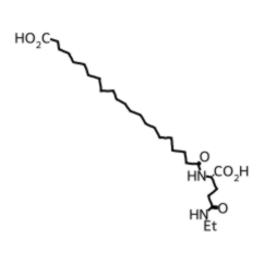 CCNC(=O)CC[C@H](NC(=O)CCCCCCCCCCCCCCCCCCCCC(=O)O)C(=O)O